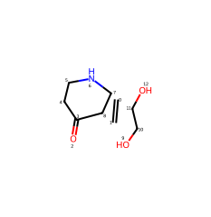 C=C.O=C1CCNCC1.OCCO